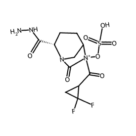 NNC(=O)[C@@H]1CCC2CN1C(=O)[N+]2(OS(=O)(=O)O)C(=O)C1CC1(F)F